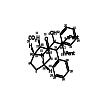 CCCCCN(CCCCC)C(O)N1C[C@@H]2CC[C@H]([C@H]1C(=O)O)N2C(=O)C(c1ccccc1)c1ccccc1